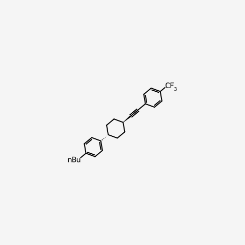 CCCCc1ccc([C@H]2CC[C@H](C#Cc3ccc(C(F)(F)F)cc3)CC2)cc1